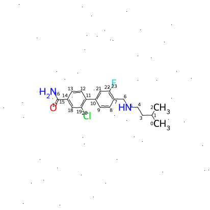 CC(C)CCNCc1ccc(-c2ccc(C(N)=O)cc2Cl)cc1F